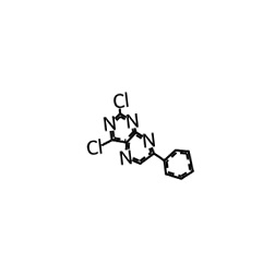 Clc1nc(Cl)c2ncc(-c3ccccc3)nc2n1